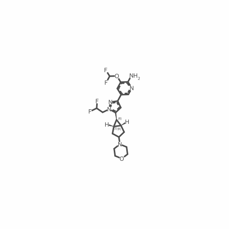 Nc1ncc(-c2cc([C@H]3[C@@H]4CC(N5CCOCC5)C[C@@H]43)n(CC(F)F)n2)cc1OC(F)F